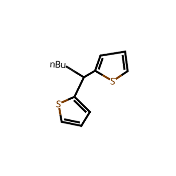 [CH2]CCCC(c1cccs1)c1cccs1